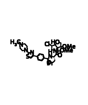 COC1(OC)CO[C@@H]2[C@H](Cl)CN(C(=O)[C@H](CC(C)C)NC(=O)c3ccc(-c4csc(N5CCN(C)CC5)n4)cc3)[C@@H]21